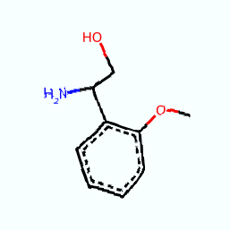 COc1ccccc1C(N)CO